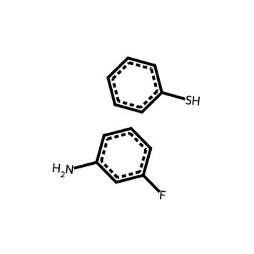 Nc1cccc(F)c1.Sc1ccccc1